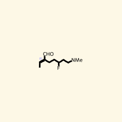 C/C=C(/C=O)CCC(F)CCNC